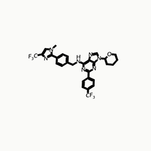 Cn1cc(C(F)(F)F)nc1-c1ccc(CNc2nc(-c3ccc(C(F)(F)F)cc3)nc3c2ncn3C2CCCCO2)cc1